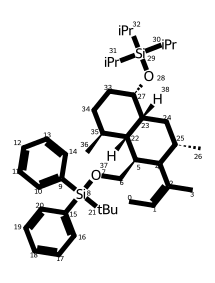 C/C=C(/C)C1[C@@H](CO[Si](c2ccccc2)(c2ccccc2)C(C)(C)C)[C@H]2[C@@H](C[C@@H]1C)[C@@H](O[Si](C(C)C)(C(C)C)C(C)C)CC[C@@H]2C